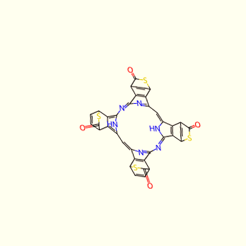 O=C1SC2C=CC1C1=C2c2cc3[nH]c(nc4nc(cc5[nH]c(nc1n2)c1c5C2C=CC1SC2=O)C1=C4C2C=CC1SC2=O)c1c3C2C=CC1SC2=O